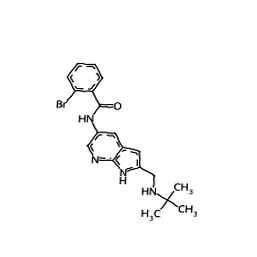 CC(C)(C)NCc1cc2cc(NC(=O)c3ccccc3Br)cnc2[nH]1